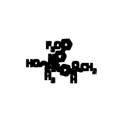 C=CC(=O)Nc1ccc(Nc2c3ccc(-c4ccccc4C(F)(F)F)cc3nn2C(C)CCO)cc1